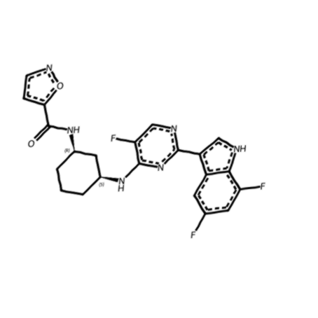 O=C(N[C@@H]1CCC[C@H](Nc2nc(-c3c[nH]c4c(F)cc(F)cc34)ncc2F)C1)c1ccno1